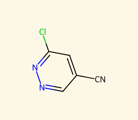 N#Cc1cnnc(Cl)c1